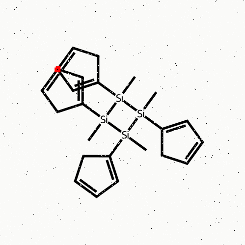 C[Si]1(C2=CC=CC2)[Si](C)(C2=CC=CC2)[Si](C)(C2=CC=CC2)[Si]1(C)C1=CC=CC1